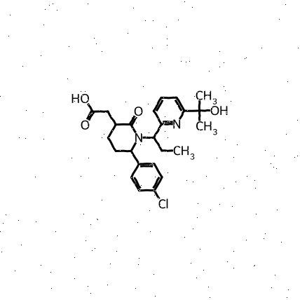 CCC(c1cccc(C(C)(C)O)n1)N1C(=O)C(CC(=O)O)CCC1c1ccc(Cl)cc1